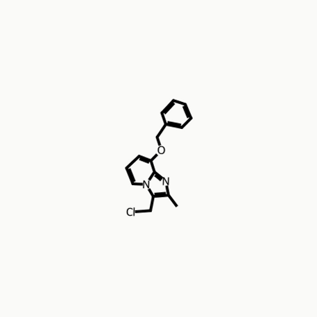 Cc1nc2c(OCc3ccccc3)cccn2c1CCl